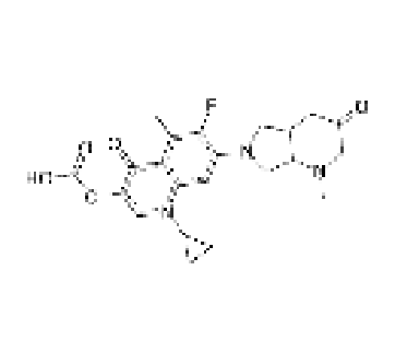 Cc1c(F)c(N2CC3CC(=O)CN(C)C3C2)cc2c1c(=O)c(OC(=O)O)cn2C1CC1